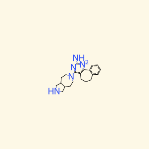 Nc1nc2c(c(N3CCC4CNCC4CC3)n1)CCCc1ccccc1-2